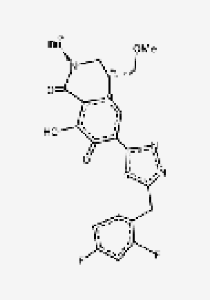 CC[C@H](C)N1C[C@H](COC)n2cc(-c3nnc(Cc4ccc(F)cc4F)s3)c(=O)c(O)c2C1=O